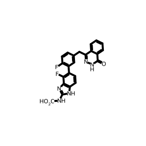 O=C(O)Nc1nc2c(F)c(-c3cc(Cc4n[nH]c(=O)c5ccccc45)ccc3F)ccc2[nH]1